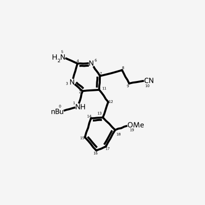 CCCCNc1nc(N)nc(CCC#N)c1Cc1ccccc1OC